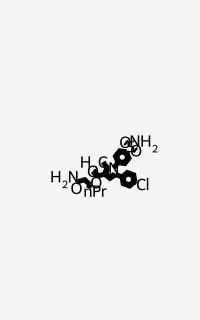 CCCC(CC(N)=O)OC(=O)c1cc(-c2ccc(Cl)cc2)n(-c2ccc(S(N)(=O)=O)cc2)c1C